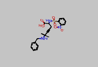 CC(C)(C#CCC(NS(=O)(=O)c1ccccc1[N+](=O)[O-])C(=O)O)NCc1ccccc1